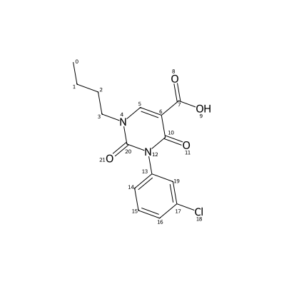 CCCCn1cc(C(=O)O)c(=O)n(-c2cccc(Cl)c2)c1=O